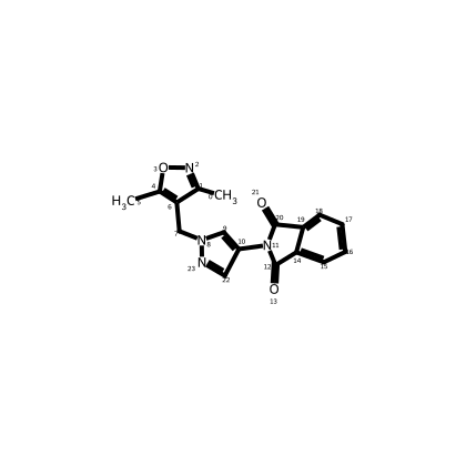 Cc1noc(C)c1Cn1cc(N2C(=O)c3ccccc3C2=O)cn1